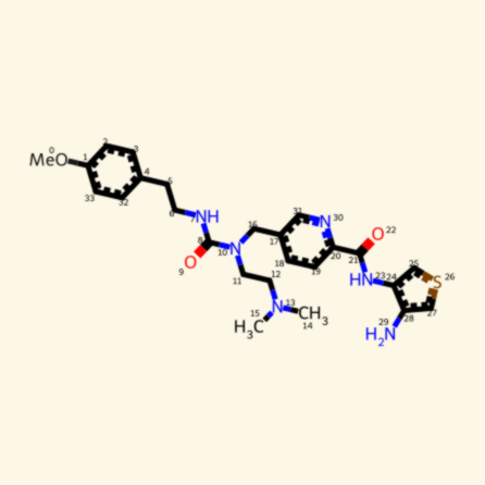 COc1ccc(CCNC(=O)N(CCN(C)C)Cc2ccc(C(=O)Nc3cscc3N)nc2)cc1